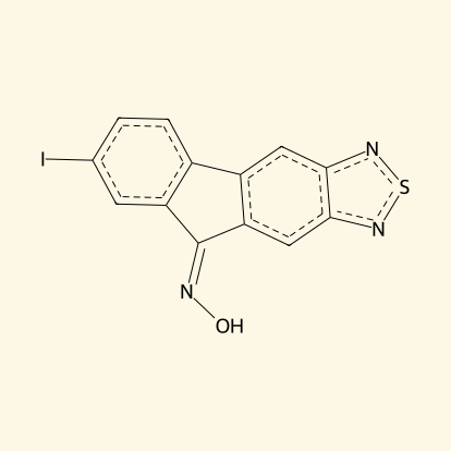 O/N=C1/c2cc(I)ccc2-c2cc3nsnc3cc21